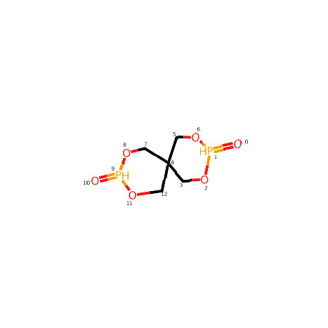 O=[PH]1OCC2(CO1)CO[PH](=O)OC2